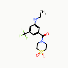 CCNc1cc(C(=O)N2CCS(=O)(=O)CC2)cc(C(F)(F)F)c1